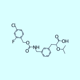 CC(C)OC(Cc1cccc(CNC(=O)OCc2ccc(Cl)cc2F)c1)C(=O)O